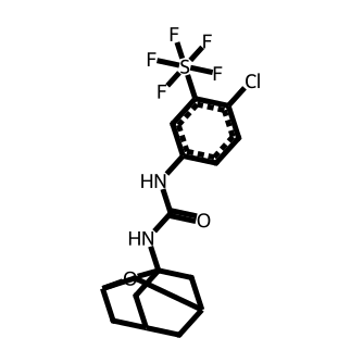 O=C(Nc1ccc(Cl)c(S(F)(F)(F)(F)F)c1)NC12CC3CC(CC(C3)O1)C2